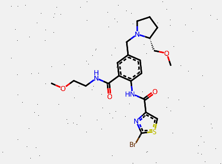 COCCNC(=O)c1cc(CN2CCC[C@@H]2COC)ccc1NC(=O)c1csc(Br)n1